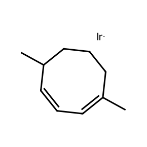 CC1=CC=CC(C)CCC1.[Ir]